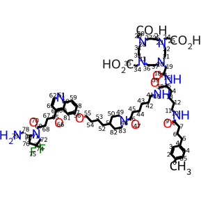 Cc1ccc(CCCC(=O)NCCCCC(NC(=O)CN2CCN(CC(=O)O)CCN(CC(=O)O)CCN(CC(=O)O)CC2)C(=O)NCCCCCC(=O)N2CCC(CCCCOc3ccc4nccc(C(=O)CCC(=O)N5CC(F)(F)C[C@@H]5CN)c4c3)CC2)cc1